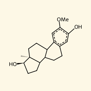 COc1cc2c(cc1O)CCC1C2CC[C@@]2(C)C1CC[C@H]2O